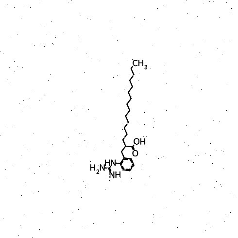 CCCCCCCCCCCCCCC(Cc1ccccc1NC(=N)N)C(=O)O